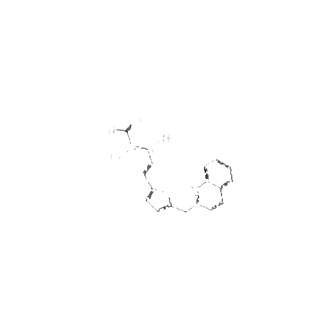 C[C@H](C=Cc1ccc(Cc2ccc3ccccc3n2)s1)N(O)C(N)=O